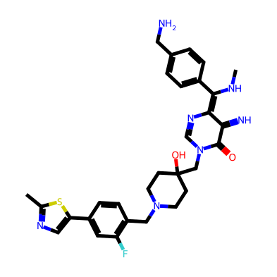 CN/C(=C1/N=CN(CC2(O)CCN(Cc3ccc(-c4cnc(C)s4)cc3F)CC2)C(=O)C1=N)c1ccc(CN)cc1